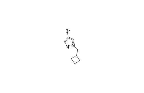 Brc1cnn(CC2CCC2)c1